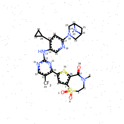 CN1CCS(=O)(=O)c2cc(-c3nc(Nc4cnc(N5CC6CC(C5)N6C)cc4C4CC4)ncc3C(F)(F)F)sc2C1=O